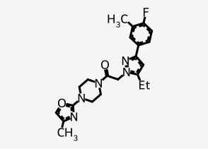 CCc1cc(-c2ccc(F)c(C)c2)nn1CC(=O)N1CCN(c2nc(C)co2)CC1